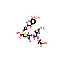 CC(C)(O/N=C(\C(=O)NC1C(=O)N2C[C@](SC3CN(C(=O)C(=O)c4ccc(O)c(O)c4Cl)C3)(C(=O)O)S[C@H]12)c1csc(N)n1)C(=O)O